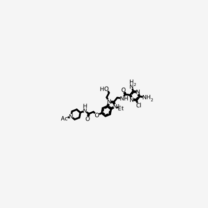 CC[n+]1c(CNC(=O)c2nc(Cl)c(N)nc2N)n(CCO)c2cc(OCC(=O)NC3CCN(C(C)=O)CC3)ccc21